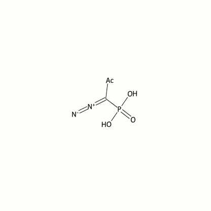 CC(=O)C(=[N+]=[N-])P(=O)(O)O